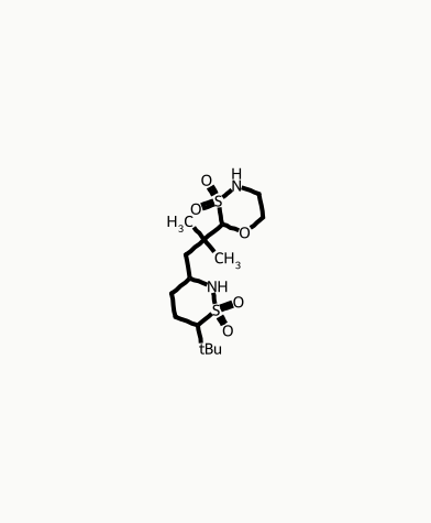 CC(C)(C)C1CCC(CC(C)(C)C2OCCNS2(=O)=O)NS1(=O)=O